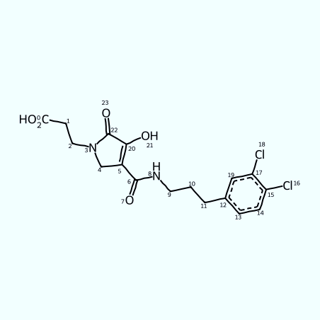 O=C(O)CCN1CC(C(=O)NCCCc2ccc(Cl)c(Cl)c2)=C(O)C1=O